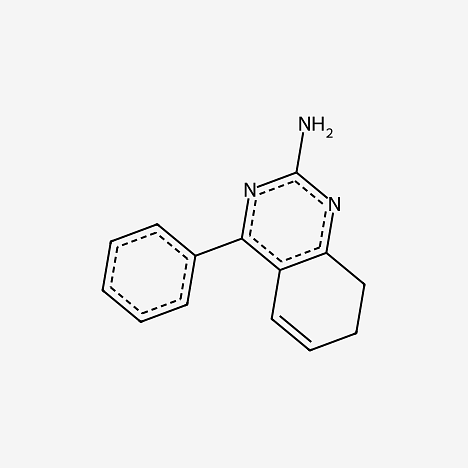 Nc1nc2c(c(-c3ccccc3)n1)C=CCC2